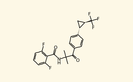 CC(C)(NC(=O)c1c(F)cccc1F)C(=O)c1ccc([C@@H]2C[C@H]2C(F)(F)F)cc1